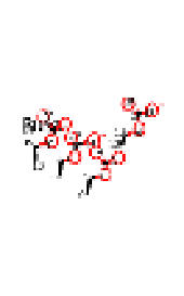 CCOC(=O)[O-].CCOC(=O)[O-].CCOC(=O)[O-].CCOC(=O)[O-].[Pu+4]